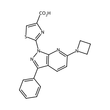 O=C(O)c1csc(-n2nc(-c3ccccc3)c3ccc(N4CCC4)nc32)n1